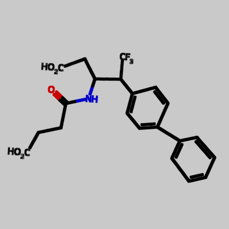 O=C(O)CCC(=O)NC(CC(=O)O)C(c1ccc(-c2ccccc2)cc1)C(F)(F)F